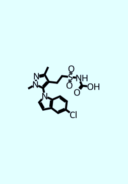 Cc1nn(C)c(-n2ccc3cc(Cl)ccc32)c1CCS(=O)(=O)NC(=O)O